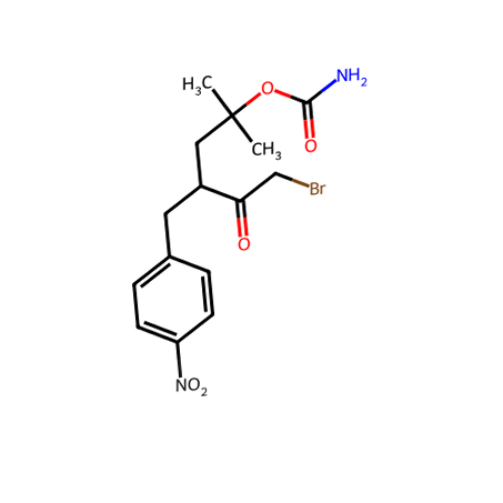 CC(C)(CC(Cc1ccc([N+](=O)[O-])cc1)C(=O)CBr)OC(N)=O